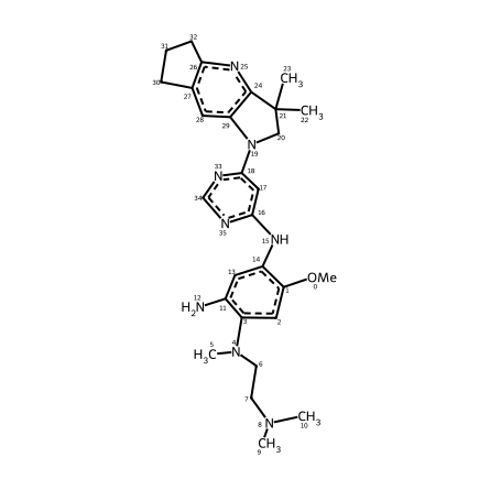 COc1cc(N(C)CCN(C)C)c(N)cc1Nc1cc(N2CC(C)(C)c3nc4c(cc32)CCC4)ncn1